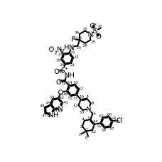 CC1(C)CCC(CN2CC=C(c3ccc(C(=O)N[S+]([O-])c4ccc(NCC5(F)CCN(S(C)(=O)=O)CC5)c([N+](=O)[O-])c4)c(Oc4cnc5[nH]ccc5c4)c3)CC2)=C(c2ccc(Cl)cc2)C1